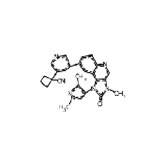 Cc1nn(C)cc1-n1c(=O)n(C)c2cnc3ccc(-c4cncc(C5(C#N)CCC5)c4)cc3c21